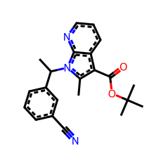 Cc1c(C(=O)OC(C)(C)C)c2cccnc2n1C(C)c1cccc(C#N)c1